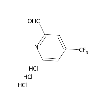 Cl.Cl.Cl.O=Cc1cc(C(F)(F)F)ccn1